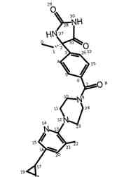 CC[C@]1(c2ccc(C(=O)N3CCN(c4ncc(C5CC5)cc4C)CC3)cc2)NC(=O)NC1=O